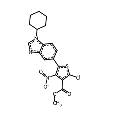 COC(=O)c1c(Cl)sc(-c2ccc3c(c2)ncn3C2CCCCC2)c1[N+](=O)[O-]